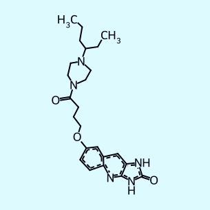 CCCC(CC)N1CCN(C(=O)CCCOc2ccc3nc4[nH]c(=O)[nH]c4cc3c2)CC1